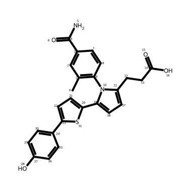 Cc1cc(C(N)=O)ccc1-n1c(CCC(=O)O)ccc1-c1ccc(-c2ccc(O)cc2)s1